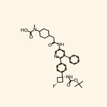 CN(C(=O)O)C1CCC(CC(=O)Nc2cnc(-c3ccc([C@]4(NC(=O)OC(C)(C)C)C[C@@H](F)C4)cc3)c(-c3ccccc3)c2)CC1